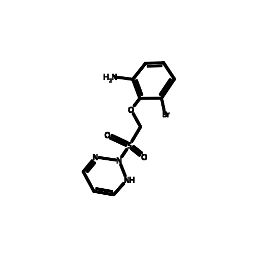 Nc1cccc(Br)c1OCS(=O)(=O)N1N=CC=CN1